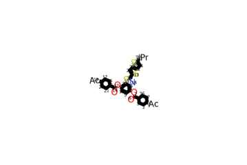 CC(=O)C1CCC(C(=O)Oc2ccc(OC(=O)C3CCC(C(C)=O)CC3)c3sc(-c4cc5sc(C(C)C)cc5s4)nc23)CC1